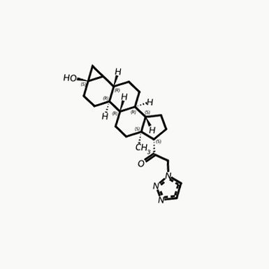 C[C@]12CC[C@@H]3[C@H]4CC[C@]5(O)CC5[C@@H]4CC[C@H]3[C@@H]1CC[C@@H]2C(=O)Cn1ccnn1